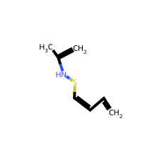 C=C/C=C\SNC(=C)C